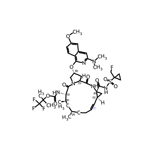 COc1ccc2c(O[C@@H]3C[C@H]4C(=O)N[C@]5(C(=O)NS(=O)(=O)C6(CF)CC6)C[C@H]5/C=C\CC[C@@H](C)C[C@@H](C)[C@H](NC(=O)OC(C)(C)C(F)(F)F)C(=O)N4C3)nc(N(C)C)cc2c1